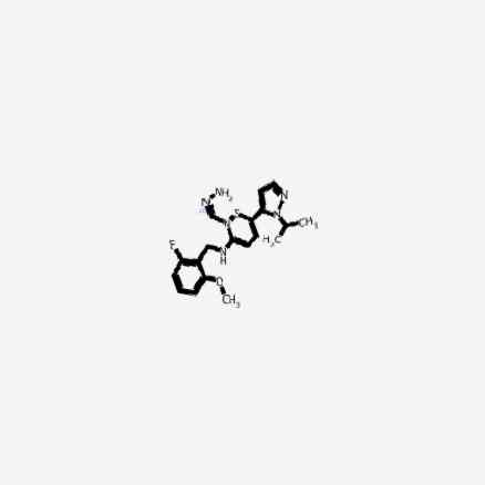 COc1cccc(F)c1CNC1=CC=C(c2ccnn2C(C)C)SN1/C=N\N